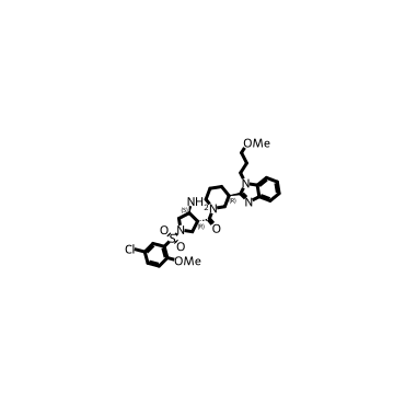 COCCCn1c([C@@H]2CCCN(C(=O)[C@@H]3CN(S(=O)(=O)c4cc(Cl)ccc4OC)C[C@H]3N)C2)nc2ccccc21